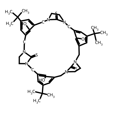 CC(C)(C)c1cc2c(O)c(c1)CN1CCN(Cc3cc(C(C)(C)C)cc(c3O)CN3CCN(Cc4cc(C(C)(C)C)cc(c4O)CN4CCN(C2)C4=S)C3=S)C1=S